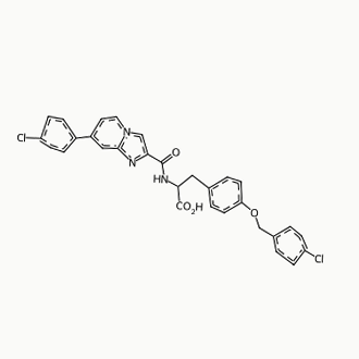 O=C(NC(Cc1ccc(OCc2ccc(Cl)cc2)cc1)C(=O)O)c1cn2ccc(-c3ccc(Cl)cc3)cc2n1